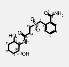 NC(=O)c1ccccc1CS(=O)(=O)C[CH]C(=O)NC1C(O)CCC[C@H]1O